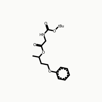 CC(CCOc1ccccc1)OC(=O)CNC(=O)OC(C)(C)C